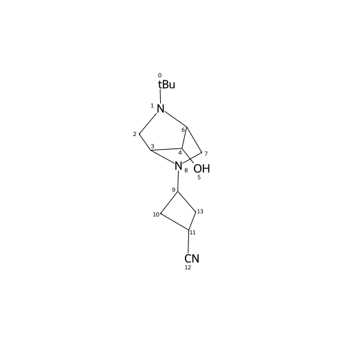 CC(C)(C)N1CC2C(O)C1CN2C1CC(C#N)C1